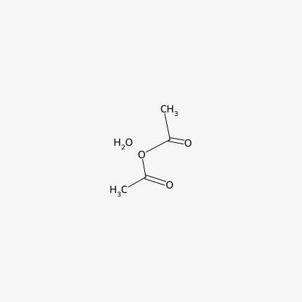 CC(=O)OC(C)=O.O